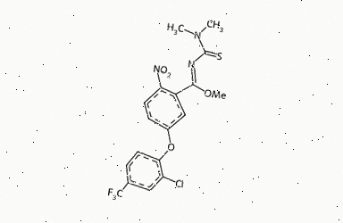 COC(=NC(=S)N(C)C)c1cc(Oc2ccc(C(F)(F)F)cc2Cl)ccc1[N+](=O)[O-]